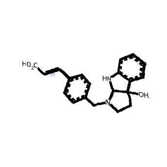 O=C(O)/C=C/c1ccc(CN2CCC3(O)c4ccccc4NC23)cc1